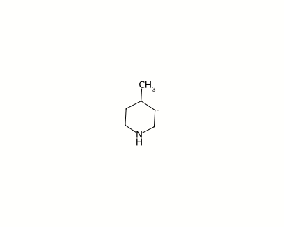 CC1[CH]CNCC1